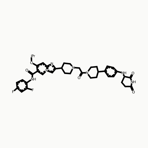 CC(C)Oc1cc2nc(C3CCN(CC(=O)N4CCC(c5ccc(NC6CCC(=O)NC6=O)cc5)CC4)CC3)cn2cc1C(=O)Nc1ccc(F)cc1F